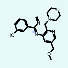 C=N/C(=N\c1cc(COC)cnc1CN1CCOCC1)c1cccc(O)c1